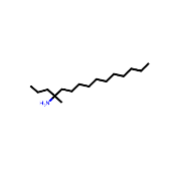 CCCCCCCCCCCC(C)(N)CCC